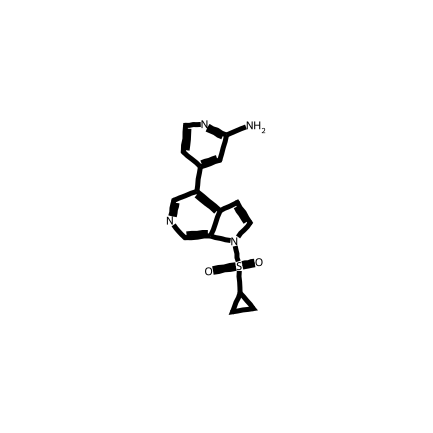 Nc1cc(-c2cncc3c2ccn3S(=O)(=O)C2CC2)ccn1